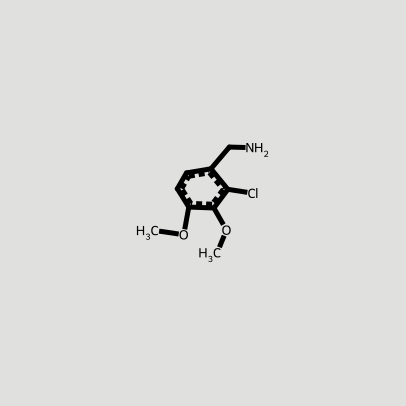 COc1ccc(CN)c(Cl)c1OC